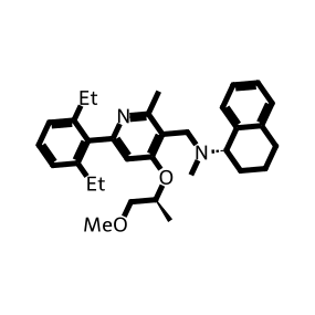 CCc1cccc(CC)c1-c1cc(O[C@@H](C)COC)c(CN(C)[C@H]2CCCc3ccccc32)c(C)n1